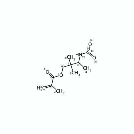 C=C(C)C(=O)OCC(C)(C)C(C)N[SH](=O)=O